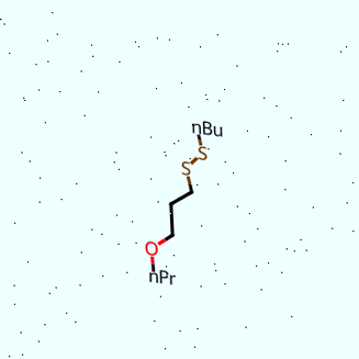 CCCCSSCCCOCCC